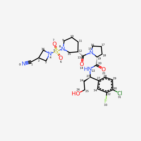 N#CC1CN(S(=O)(=O)N2CCC[C@H](C(=O)N3CCC[C@@H]3C(=O)N[C@H](CCO)c3ccc(Cl)c(F)c3)C2)C1